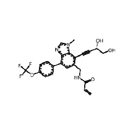 C=CC(=O)NCc1cc(-c2ccc(OC(F)(F)F)cc2)c2ncn(C)c2c1C#C[C@H](O)CO